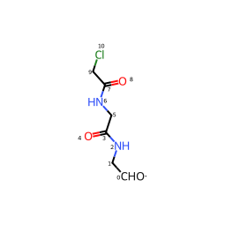 O=[C]CNC(=O)CNC(=O)CCl